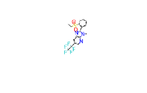 CCS(=O)(=O)c1ccccc1-c1nc2cc(C(F)(F)C(F)(F)F)cnc2n1C